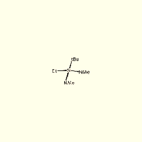 CC[Si](NC)(NC)C(C)(C)C